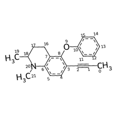 CC#Cc1ccc2c(c1Oc1ccccc1)CCC(C)N2C